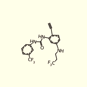 C#Cc1ccc(NCCC(F)(F)F)cc1NC(=O)Nc1cccc(C(F)(F)F)c1